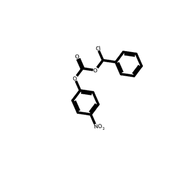 O=C(Oc1ccc([N+](=O)[O-])cc1)OC(Cl)c1ccccc1